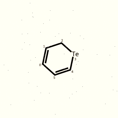 C1=CC[Te]C=C1